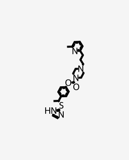 Cc1cccc(CCCN2CCN(C(=O)Oc3ccc(C(C)Sc4ncc[nH]4)cc3)CC2)n1